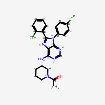 CC(=O)N1CCC[C@H](Nc2ncnc3c2nc(-c2ccccc2Cl)n3-c2ccc(Cl)cc2)C1